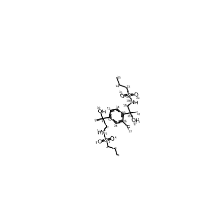 CCCS(=O)(=O)NCC(C)(O)c1ccc(C(C)(O)CNS(=O)(=O)CCC)c(F)c1